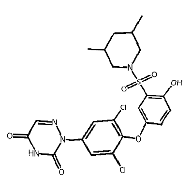 CC1CC(C)CN(S(=O)(=O)c2cc(Oc3c(Cl)cc(-n4ncc(=O)[nH]c4=O)cc3Cl)ccc2O)C1